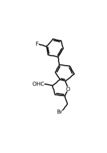 O=CC1C=C(CBr)Oc2ccc(-c3cccc(F)c3)cc21